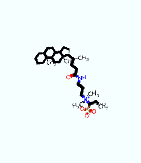 CCC([N+](C)(C)CCCNC(=O)CC[C@@H](C)[C@H]1CCC2C3CCC4CCCC[C@]4(C)C3CC[C@@]21C)S(=O)(=O)[O-]